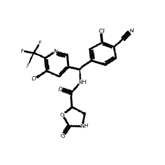 N#Cc1ccc([C@@H](NC(=O)C2CNC(=O)O2)c2cnc(C(F)(F)F)c(Cl)c2)cc1Cl